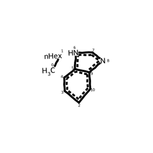 CCCCCCC.c1ccc2[nH]cnc2c1